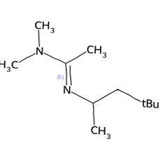 C/C(=N\C(C)CC(C)(C)C)N(C)C